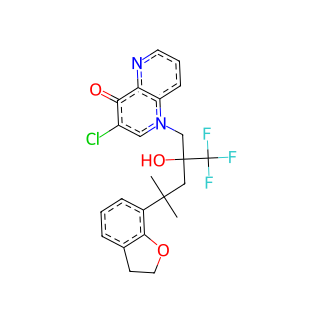 CC(C)(CC(O)(Cn1cc(Cl)c(=O)c2ncccc21)C(F)(F)F)c1cccc2c1OCC2